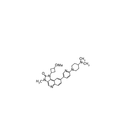 COC1CC(n2c(=O)n(C)c3cnc4ccc(-c5ccc(N6CCC(N(C)C)CC6)nc5)cc4c32)C1